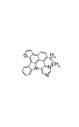 Cc1ccc2c3ccoc3c3c4ccccc4n4c5cnc[n+](C)c5c1c2c34